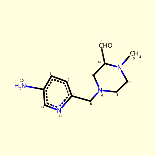 CN1CCN(Cc2ccc(N)cn2)CC1C=O